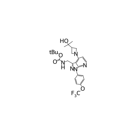 CC(C)(C)OC(=O)NCc1nn(-c2ccc(OC(F)(F)F)cc2)c2nccc(N3CC(C(C)(C)O)C3)c12